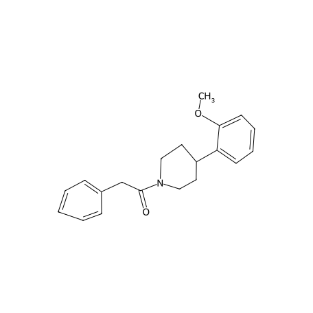 COc1ccccc1C1CCN(C(=O)Cc2ccccc2)CC1